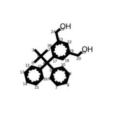 CC(C)(C)C(c1ccccc1)(c1ccccc1)c1cc(CO)cc(CO)c1